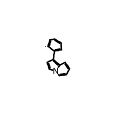 [c]1ccccc1-c1ccn2ccccc12